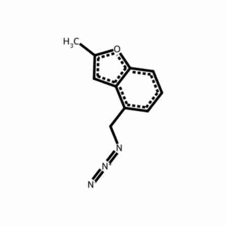 Cc1cc2c(CN=[N+]=[N-])cccc2o1